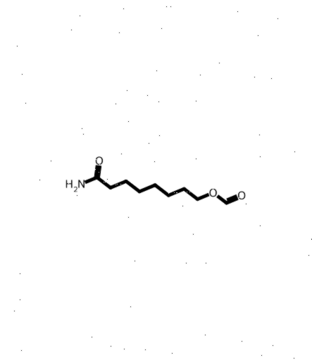 NC(=O)CCCCCCCOC=O